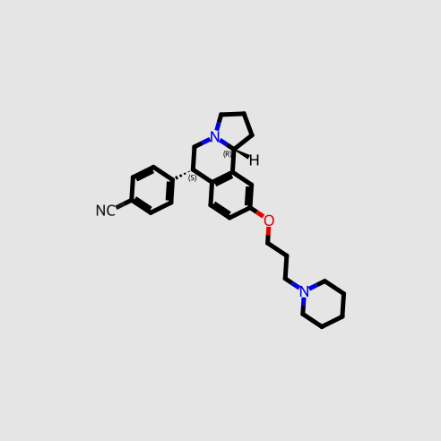 N#Cc1ccc([C@@H]2CN3CCC[C@@H]3c3cc(OCCCN4CCCCC4)ccc32)cc1